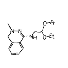 CCOC(CNC1=NN(C)Cc2ccccc21)OCC